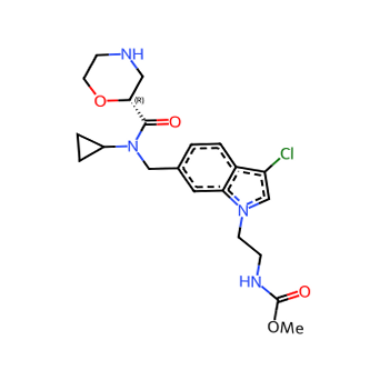 COC(=O)NCCn1cc(Cl)c2ccc(CN(C(=O)[C@H]3CNCCO3)C3CC3)cc21